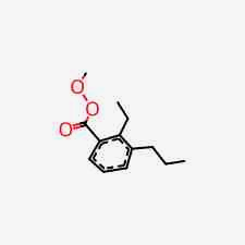 CCCc1cccc(C(=O)OOC)c1CC